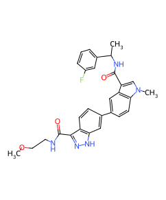 COCCNC(=O)c1n[nH]c2cc(-c3ccc4c(c3)c(C(=O)NC(C)c3cccc(F)c3)cn4C)ccc12